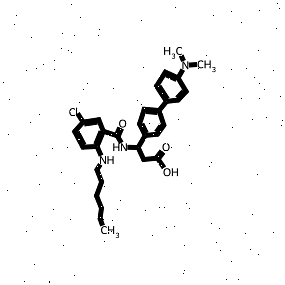 CCCCCCNc1ccc(Cl)cc1C(=O)NC(CC(=O)O)c1ccc(-c2ccc(N(C)C)cc2)cc1